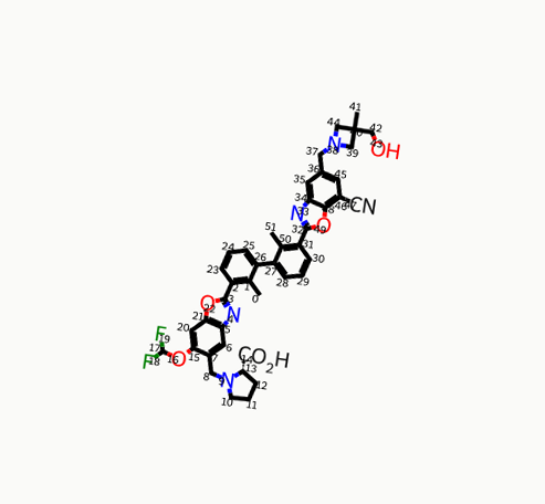 Cc1c(-c2nc3cc(CN4CCC[C@H]4C(=O)O)c(OC(F)F)cc3o2)cccc1-c1cccc(-c2nc3cc(CN4CC(C)(CO)C4)cc(C#N)c3o2)c1C